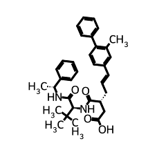 Cc1cc(/C=C/C[C@H](CC(=O)O)C(=O)N[C@H](C(=O)N[C@H](C)c2ccccc2)C(C)(C)C)ccc1-c1ccccc1